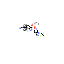 CCS(=O)(=O)c1c2ccc(C(C)(C)C#N)cc2nn1-c1cc2cnn(CC(F)(F)C(F)(F)F)c2cn1